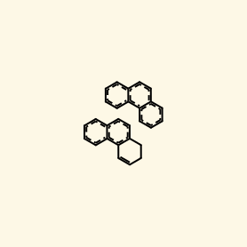 C1=Cc2c(ccc3ccccc23)CC1.c1ccc2c(c1)ccc1ccccc12